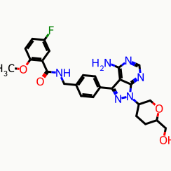 COc1ccc(F)cc1C(=O)NCc1ccc(-c2nn(C3CCC(CO)OC3)c3ncnc(N)c23)cc1